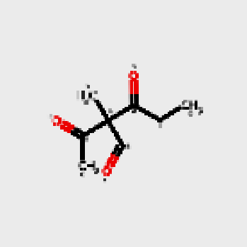 CCC(=O)C(C)(C=O)C(C)=O